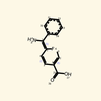 C\C=C(/C=C\C(F)=C(/N)c1ccccc1)C(=O)O